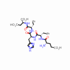 CC(C)C[C@H](NC(=O)[C@H](Cc1c[nH]cn1)NC(=O)[C@H](CC(C)C)NC(=O)[C@@H](N)CCC(=O)O)C(=O)N[C@@H](CC(=O)O)C(=O)O